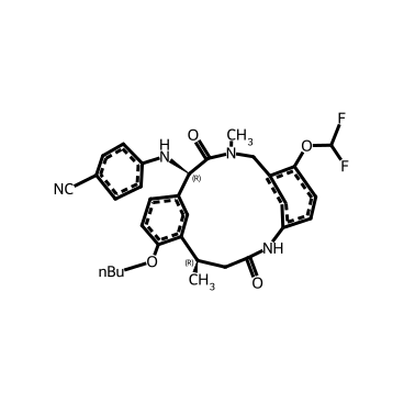 CCCCOc1ccc2cc1[C@H](C)CC(=O)Nc1ccc(OC(F)F)c(c1)CN(C)C(=O)[C@@H]2Nc1ccc(C#N)cc1